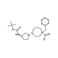 CC(C)(C)OC(=O)N[C@@H]1CCN([C@@H]2CCC[N+](Cc3ccccc3)(C(=O)[O-])CC2)C1